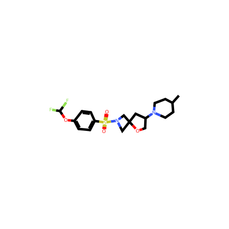 CC1CCN(C2COC3(C2)CN(S(=O)(=O)c2ccc(OC(F)F)cc2)C3)CC1